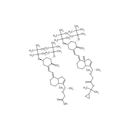 C=C1C(=CC=C2CCC[C@]3(C)C([C@H](C)OCC(=O)O)=CCC23)C[C@@H](O[Si](C)(C)C(C)(C)C)C[C@@H]1O[Si](C)(C)C(C)(C)C.C=C1C(=CC=C2CCC[C@]3(C)C([C@H](C)OCC(=O)OC(C)(C)C4CC4)=CC[C@@H]23)C[C@@H](O[Si](C)(C)C(C)(C)C)C[C@@H]1O[Si](C)(C)C(C)(C)C